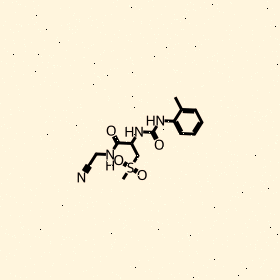 Cc1ccccc1NC(=O)NC(CS(C)(=O)=O)C(=O)NCC#N